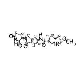 COc1cnc2cc(C(=O)Nc3ccc4c(c3)CN(C3CCC(=O)NC3=O)C4=O)ccc2c1